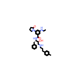 CCNc1cc(C(=O)N[C@@H](Cc2ccccc2)[C@@H](O)CNCCCc2ccc(C)cc2)cc(N2CCCC2=O)c1